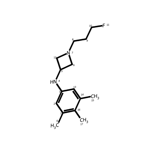 Cc1cc(NC2CN(CCCF)C2)cc(C)c1C